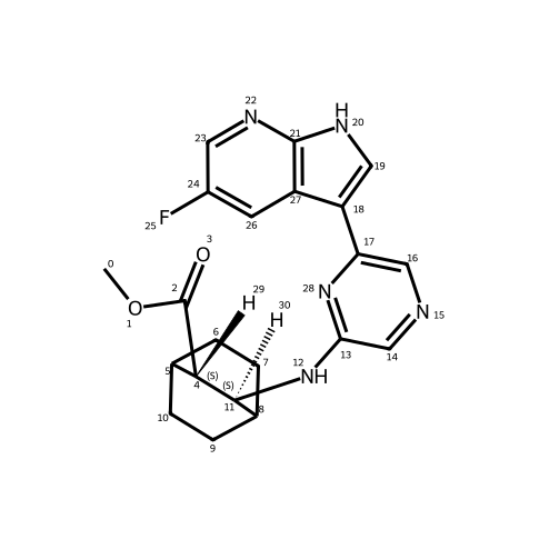 COC(=O)[C@H]1C2CCC(CC2)[C@@H]1Nc1cncc(-c2c[nH]c3ncc(F)cc23)n1